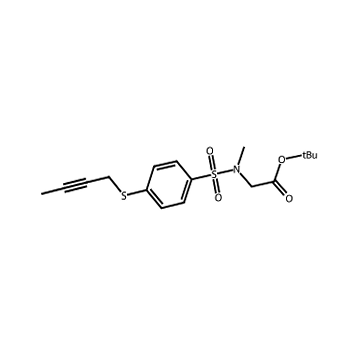 CC#CCSc1ccc(S(=O)(=O)N(C)CC(=O)OC(C)(C)C)cc1